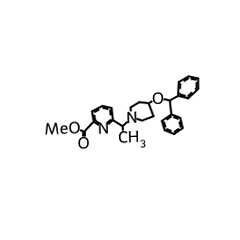 COC(=O)c1cccc(C(C)N2CCC(OC(c3ccccc3)c3ccccc3)CC2)n1